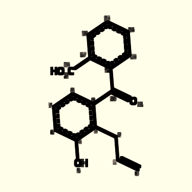 C=CCc1c(O)cccc1C(=O)c1ccccc1C(=O)O